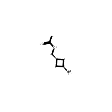 CC(=O)OC[C@H]1C[C@@H](N)C1